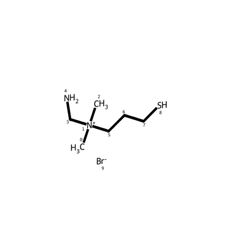 C[N+](C)(CN)CCCS.[Br-]